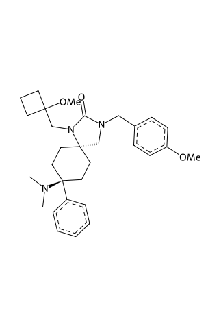 COc1ccc(CN2C[C@]3(CC[C@](c4ccccc4)(N(C)C)CC3)N(CC3(OC)CCC3)C2=O)cc1